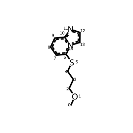 COCCCSc1cccc2nccn12